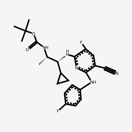 C[C@H](NC(=O)OC(C)(C)C)[C@H](Nc1nc(Nc2ccc(F)cc2)c(C#N)cc1F)C1CC1